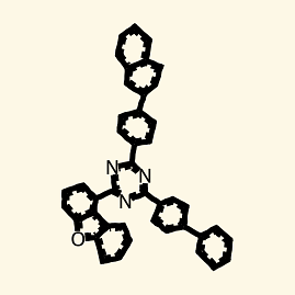 c1ccc(-c2ccc(-c3nc(-c4ccc(-c5ccc6ccccc6c5)cc4)nc(-c4cccc5oc6ccccc6c45)n3)cc2)cc1